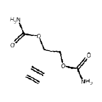 C=C.C=C.NC(=O)OCCOC(N)=O